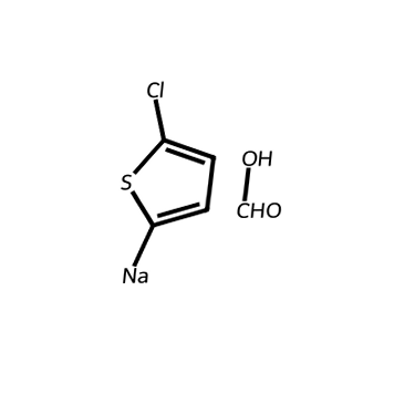 O=CO.[Na][c]1ccc(Cl)s1